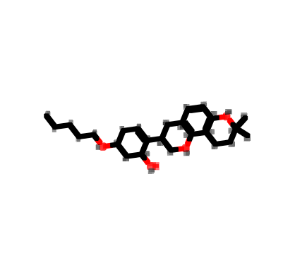 CCCCCOC1CC=C(C2COc3c(ccc4c3CCC(C)(C)O4)C2)C(O)C1